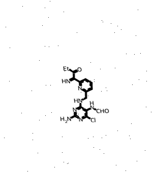 CCC(=O)C(=N)c1cccc(CNc2nc(N)nc(Cl)c2NC=O)n1